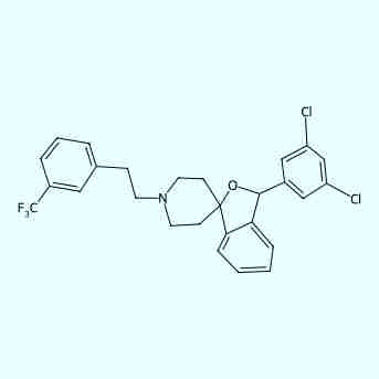 FC(F)(F)c1cccc(CCN2CCC3(CC2)OC(c2cc(Cl)cc(Cl)c2)c2ccccc23)c1